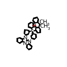 CC1(C)c2ccccc2Oc2c1cccc2S(c1ccccc1)(c1ccccc1)c1cccc(-n2c3ccccc3n3c4ccccc4nc23)c1